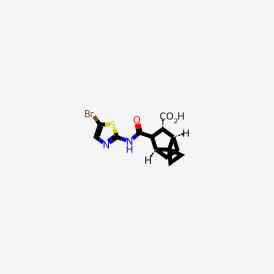 O=C(Nc1ncc(Br)s1)C1[C@H](C(=O)O)[C@H]2CC[C@@H]1C21CC1